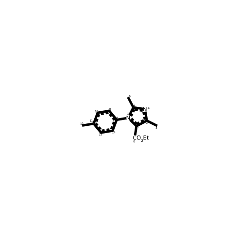 CCOC(=O)c1c(C)nc(C)n1-c1ccc(C)cc1